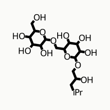 CC(C)CC(O)COC1OC(COC2OC(CO)C(O)C(O)C2O)C(O)C(O)C1O